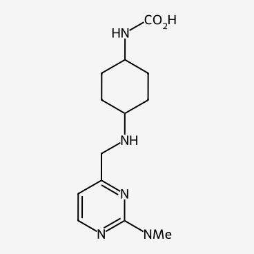 CNc1nccc(CNC2CCC(NC(=O)O)CC2)n1